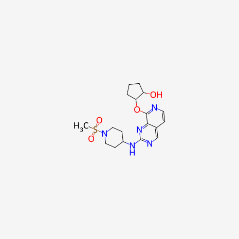 CS(=O)(=O)N1CCC(Nc2ncc3ccnc(OC4CCCC4O)c3n2)CC1